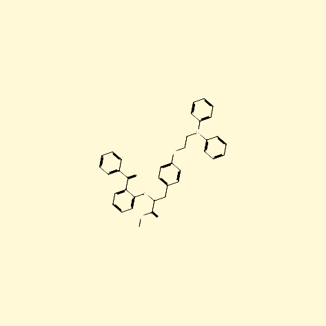 COC(=O)C(Cc1ccc(OCCN(c2ccccc2)c2ccccc2)cc1)Nc1ccccc1C(=O)c1ccccc1